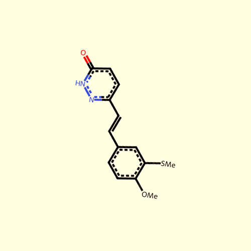 COc1ccc(C=Cc2ccc(=O)[nH]n2)cc1SC